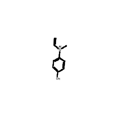 C=C[SiH](C)c1ccc(O)cc1